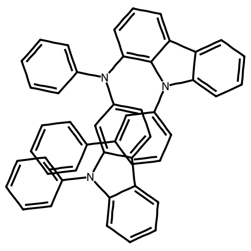 c1ccc(-c2cccc(-n3c4ccccc4c4cccc(N(c5ccccc5)c5ccc6c7ccccc7n(-c7ccccc7)c6c5)c43)c2)cc1